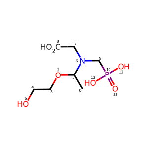 CC(OCCO)N(CC(=O)O)CP(=O)(O)O